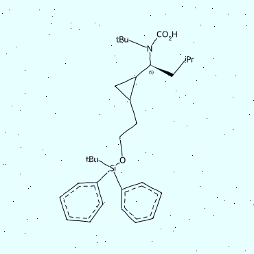 CC(C)C[C@@H](C1CC1CCO[Si](c1ccccc1)(c1ccccc1)C(C)(C)C)N(C(=O)O)C(C)(C)C